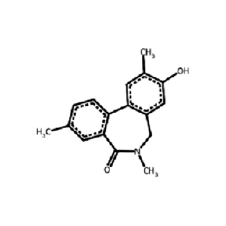 Cc1ccc2c(c1)C(=O)N(C)Cc1cc(O)c(C)cc1-2